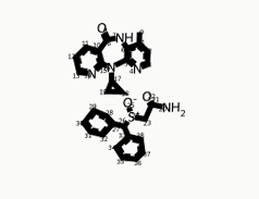 Cc1ccnc2c1NC(=O)c1cccnc1N2C1CC1.NC(=O)C[S+]([O-])C(c1ccccc1)c1ccccc1